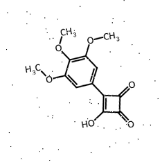 COc1cc(-c2c(O)c(=O)c2=O)cc(OC)c1OC